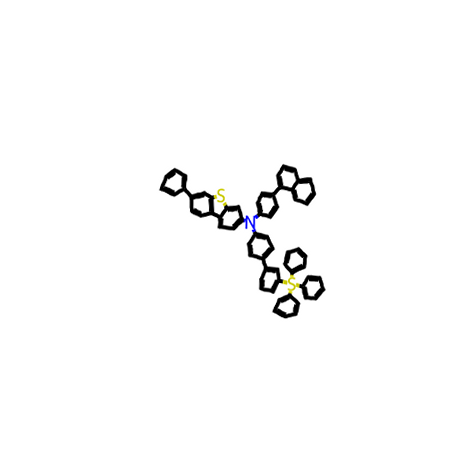 c1ccc(-c2ccc3c(c2)sc2cc(N(c4ccc(-c5cccc(S(c6ccccc6)(c6ccccc6)c6ccccc6)c5)cc4)c4ccc(-c5cccc6ccccc56)cc4)ccc23)cc1